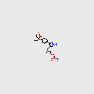 CCC1(CC)CC2(CC=C(c3n[nH]cc3CN(C)CCOC(=O)NC)CC2)OC1=O